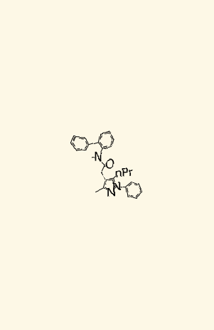 CCCc1c(CC(=O)N(C)c2ccccc2-c2ccccc2)c(C)nn1-c1ccccc1